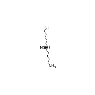 CCCCCCCCCCCCS.[NaH].[NaH]